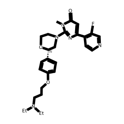 CCN(CC)CCCOc1ccc([C@H]2CN(c3nc(-c4ccncc4F)cc(=O)n3C)CCO2)cc1